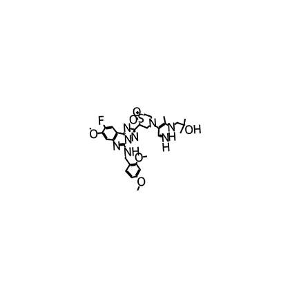 COc1ccc(CNc2nc3cc(OC)c(F)cc3c3nc(C4CN(/C(C=N)=C(\C)NCC(C)(C)O)CCS4(=O)=O)nn23)c(OC)c1